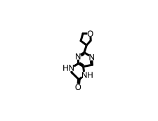 O=C1CNc2nc(C3CCOC3)ncc2N1